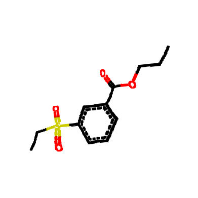 CCCOC(=O)c1cccc(S(=O)(=O)CC)c1